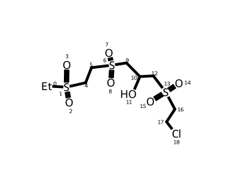 CCS(=O)(=O)CCS(=O)(=O)CC(O)CS(=O)(=O)CCCl